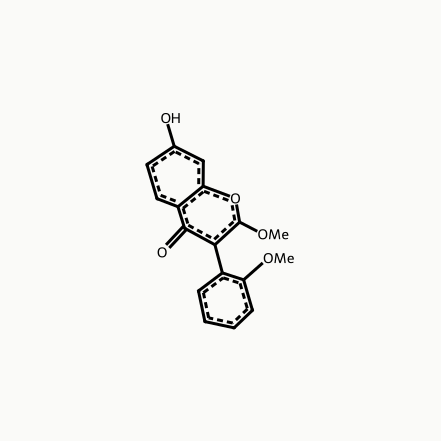 COc1ccccc1-c1c(OC)oc2cc(O)ccc2c1=O